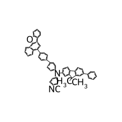 [C-]#[N+]c1ccc(N(c2ccc(-c3ccc(-c4cc5c6ccccc6oc5c5ccccc45)cc3)cc2)c2ccc3c(c2)C(C)(C)c2cc(-c4ccccc4)ccc2-3)cc1